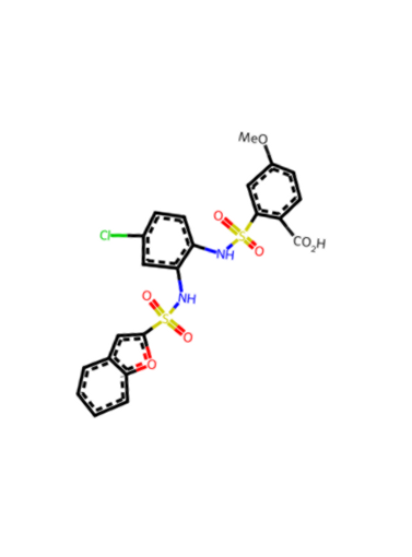 COc1ccc(C(=O)O)c(S(=O)(=O)Nc2ccc(Cl)cc2NS(=O)(=O)c2cc3ccccc3o2)c1